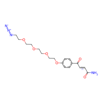 [N-]=[N+]=NCCOCCOCCOCCOc1ccc(C(=O)/C=C/C(N)=O)cc1